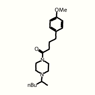 CCCCC(C)N1CCN(C(=O)CCCc2ccc(OC)cc2)CC1